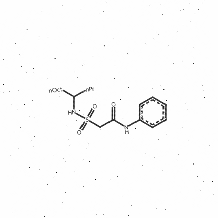 CCCCCCCCC(CCC)NS(=O)(=O)CC(=O)Nc1ccccc1